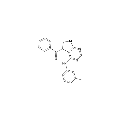 Cc1cccc(Nc2ncnc3c2C(C(=O)c2ccccc2)CN3)c1